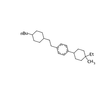 CCCCC1CCC(CCc2ccc(C3CCC(C)(CC)CC3)cc2)CC1